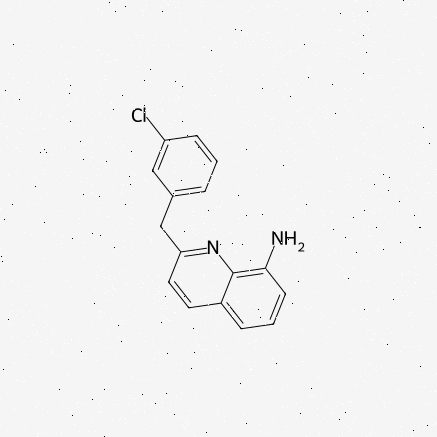 Nc1cccc2ccc(Cc3cccc(Cl)c3)nc12